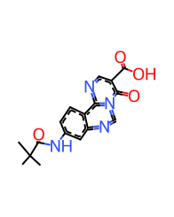 CC(C)(C)C(=O)Nc1ccc2c(c1)ncn1c(=O)c(C(=O)O)cnc21